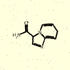 NC(=O)C1C=NC2=CCC=CN21